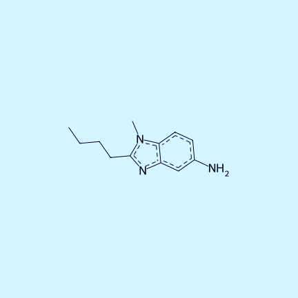 CCCCc1nc2cc(N)ccc2n1C